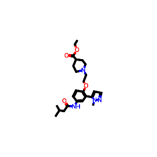 CCOC(=O)C1CCN(CCOc2ccc(NC(=O)CC(C)C)cc2-c2ccnn2C)CC1